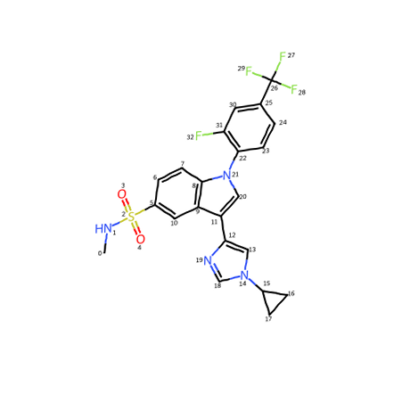 CNS(=O)(=O)c1ccc2c(c1)c(-c1cn(C3CC3)cn1)cn2-c1ccc(C(F)(F)F)cc1F